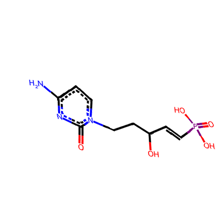 Nc1ccn(CCC(O)C=CP(=O)(O)O)c(=O)n1